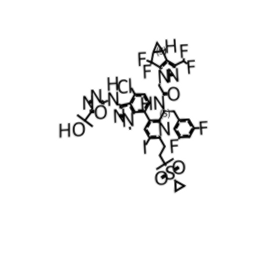 Cn1nc(Nc2nnc(C(C)(C)O)o2)c2c(Cl)ccc(-c3cc(I)c(CCC(C)(C)S(=O)(=O)C4CC4)nc3[C@H](Cc3cc(F)cc(F)c3)NC(=O)Cn3nc(C(F)F)c4c3C(F)(F)C3C[C@H]43)c21